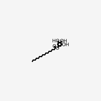 CCCCCCCCCCCCCCCC(=O)Oc1cc(O)c(O)c(O)c1